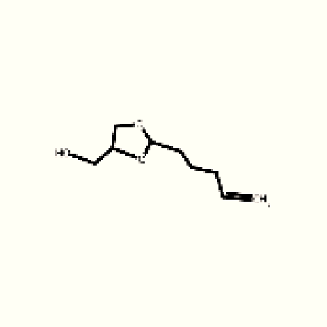 C=CCCCC1OCC(CO)O1